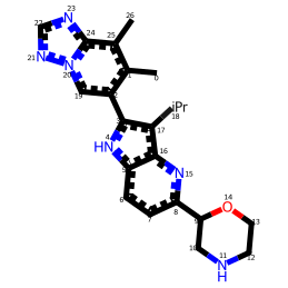 Cc1c(-c2[nH]c3ccc(C4CNCCO4)nc3c2C(C)C)cn2ncnc2c1C